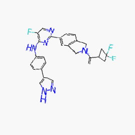 C=C(C1CC(F)(F)C1)N1Cc2ccc(-c3ncc(F)c(Nc4ccc(-c5cn[nH]c5)cc4)n3)cc2C1